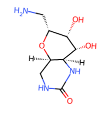 NC[C@H]1O[C@@H]2CNC(=O)N[C@@H]2[C@@H](O)[C@H]1O